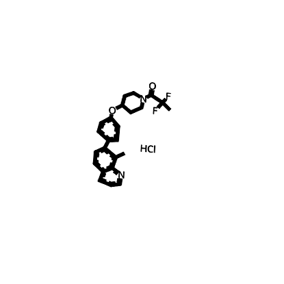 Cc1c(-c2ccc(OC3CCN(C(=O)C(C)(F)F)CC3)cc2)ccc2cccnc12.Cl